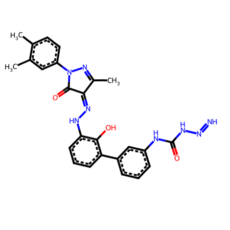 CC1=NN(c2ccc(C)c(C)c2)C(=O)/C1=N\Nc1cccc(-c2cccc(NC(=O)NN=N)c2)c1O